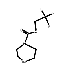 O=C(OCC(F)(F)F)N1CCNCC1